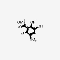 COC(=O)c1c(O)c(O)cc([N+](=O)[O-])c1F